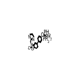 O=c1oc2ccc(-c3ccc(OC(P)(P)P)cc3)cc2n1Cc1ncccn1